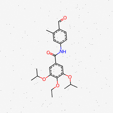 CCOc1c(OC(C)C)cc(C(=O)Nc2ccc(C=O)c(C)c2)cc1OC(C)C